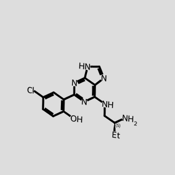 CC[C@H](N)CNc1nc(-c2cc(Cl)ccc2O)nc2[nH]cnc12